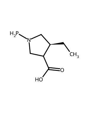 CC[C@@H]1CN(P)CC1C(=O)O